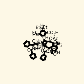 CC(=O)O[C@H]1C(=O)[C@@]2(C)[C@H]([C@H](OC(=O)c3ccccc3)[C@]3(O)C[C@H](OC(=O)[C@H](O)[C@@H](NC(=O)c4ccccc4)c4ccccc4)C(C)=C1C3(C)C)[C@]1(OC(C)=O)CO[C@@H]1C[C@@H]2O.CCNCC.CCNc1ccc(C(=O)O)cc1